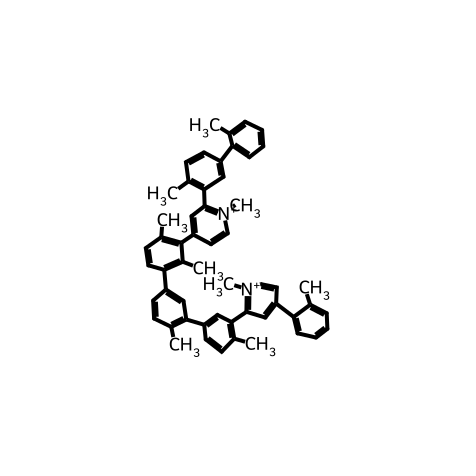 Cc1ccccc1-c1ccc(C)c(-c2cc(-c3c(C)ccc(-c4ccc(C)c(-c5ccc(C)c(-c6cc(-c7ccccc7C)cc[n+]6C)c5)c4)c3C)cc[n+]2C)c1